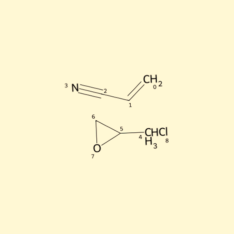 C=CC#N.CC1CO1.Cl